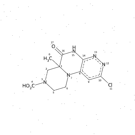 CC12CN(C(=O)O)CCN1c1cc(Cl)nnc1NC2=O